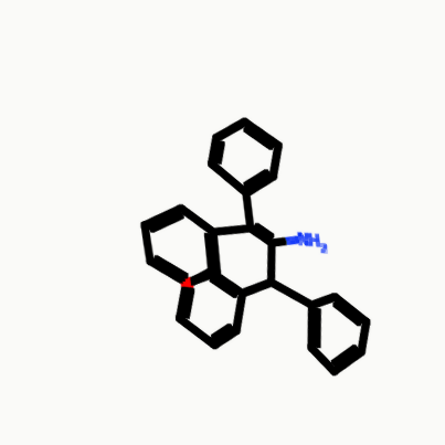 NC(=C(c1ccccc1)c1ccccc1)C(c1ccccc1)c1ccccc1